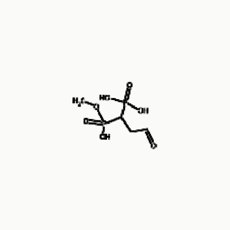 COP(=O)(O)C(CC=O)P(=O)(O)O